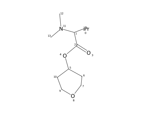 CC(C)C(C(=O)OC1CCOCC1)N(C)C